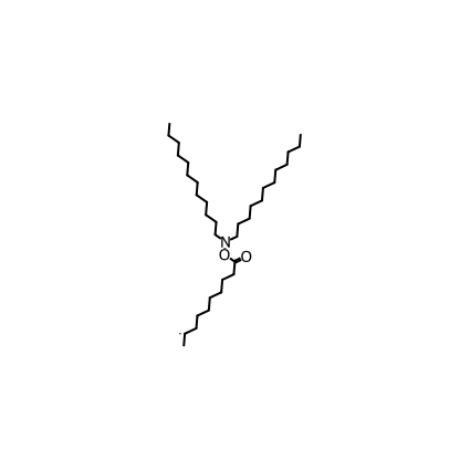 C[CH]CCCCCCCC(=O)ON(CCCCCCCCCCCC)CCCCCCCCCCCC